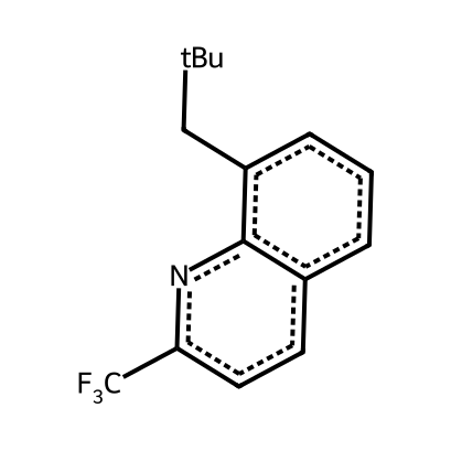 CC(C)(C)Cc1cccc2ccc(C(F)(F)F)nc12